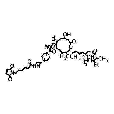 CCC(O)C(C)[C@H]1O[C@@H]1CC(C)(O)/C=C/C=C(\C)[C@H]1OC(=O)C[C@H](O)CC[C@@](C)(OC(C)=O)[C@@H](OC(=O)N2CCN(CCNC(=O)CCCCCN3C(=O)C=CC3=O)CC2)/C=C/[C@@H]1C